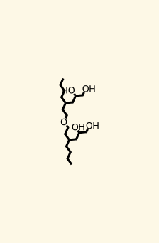 CCCCC(CCOCCC(CCCC)CC(O)CO)CC(O)CO